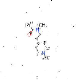 CCN1CCC(CCN(C)C(=O)C(C)C)CC1